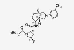 CC(C)(C)OC(=O)N1C[C@H](F)C[C@H]1C(=O)N[C@H]1CC[C@@H]2CN(c3cccc(C(F)(F)F)c3)C[C@@H]21